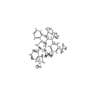 CC(C)N(c1ccccc1)C(C(C=O)c1cc(C(F)(F)F)cc(C(F)(F)F)c1)N1CCN(c2ncnc3c2[C@H](C)C[C@@H]3O)CC1